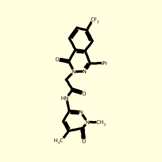 Cc1cc(NC(=O)Cn2nc(C(C)C)c3cc(C(F)(F)F)ccc3c2=O)nn(C)c1=O